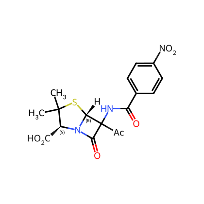 CC(=O)C1(NC(=O)c2ccc([N+](=O)[O-])cc2)C(=O)N2[C@@H](C(=O)O)C(C)(C)S[C@@H]21